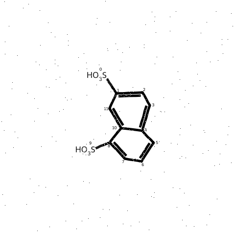 O=S(=O)(O)c1ccc2[c]ccc(S(=O)(=O)O)c2c1